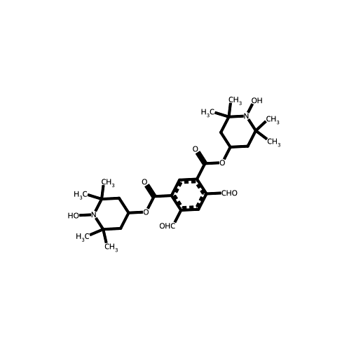 CC1(C)CC(OC(=O)c2cc(C(=O)OC3CC(C)(C)N(O)C(C)(C)C3)c(C=O)cc2C=O)CC(C)(C)N1O